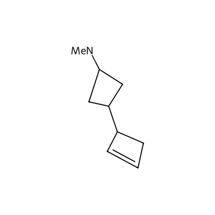 CNC1CC(C2C=CC2)C1